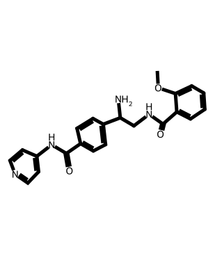 COc1ccccc1C(=O)NCC(N)c1ccc(C(=O)Nc2ccncc2)cc1